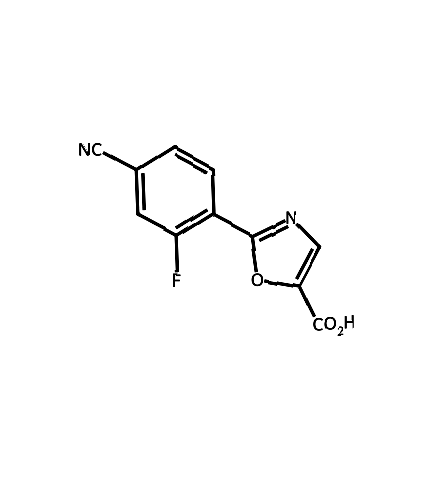 N#Cc1ccc(-c2ncc(C(=O)O)o2)c(F)c1